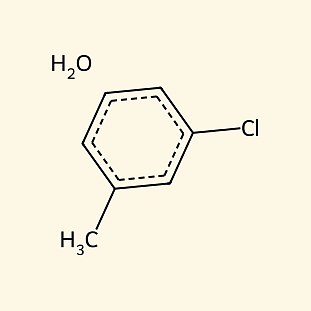 Cc1cccc(Cl)c1.O